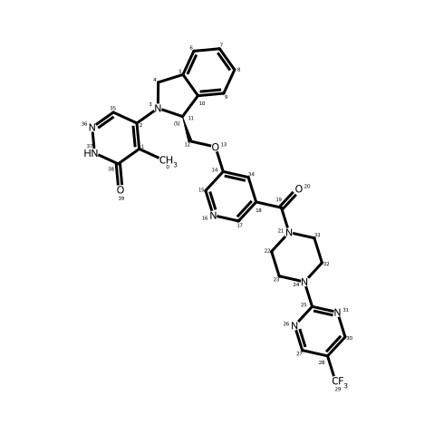 Cc1c(N2Cc3ccccc3[C@H]2COc2cncc(C(=O)N3CCN(c4ncc(C(F)(F)F)cn4)CC3)c2)cn[nH]c1=O